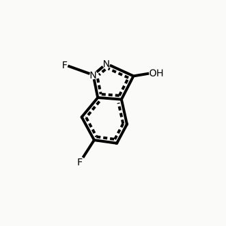 Oc1nn(F)c2cc(F)ccc12